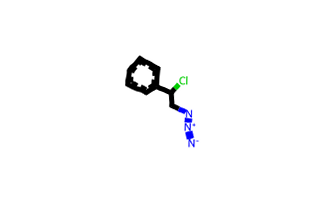 [N-]=[N+]=NCC(Cl)c1ccccc1